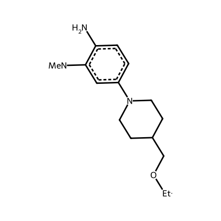 C[CH]OCC1CCN(c2ccc(N)c(NC)c2)CC1